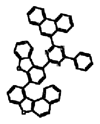 c1ccc(-c2nc(-c3cc4ccccc4c4ccccc34)nc(-c3ccc(-c4cccc5oc6ccc7ccccc7c6c45)c4oc5ccccc5c34)n2)cc1